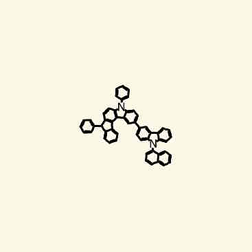 c1ccc(C2c3ccccc3-c3c2ccc2c3c3cc(-c4ccc5c(c4)c4ccccc4n5-c4cccc5ccccc45)ccc3n2-c2ccccc2)cc1